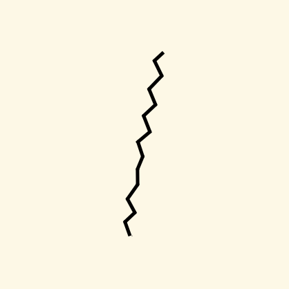 [CH2]CCCCCC[CH]CCCCCCC